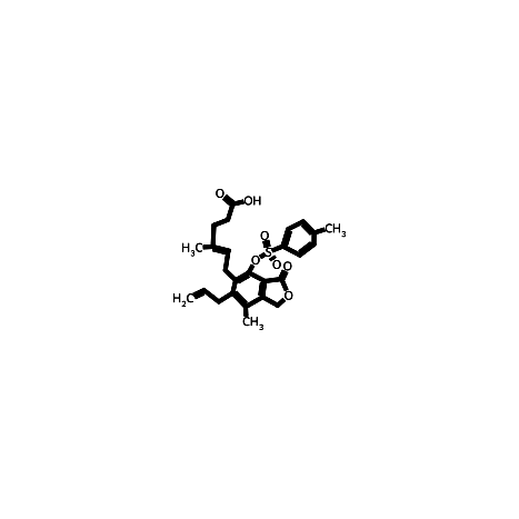 C=CCc1c(C)c2c(c(OS(=O)(=O)c3ccc(C)cc3)c1C/C=C(\C)CCC(=O)O)C(=O)OC2